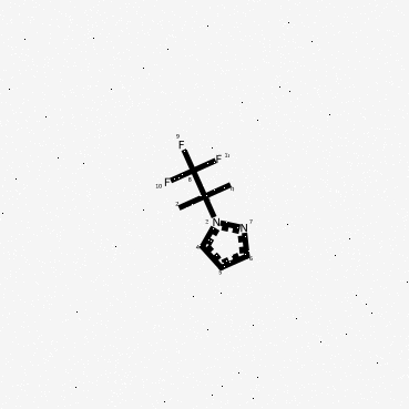 CC(C)(n1cccn1)C(F)(F)F